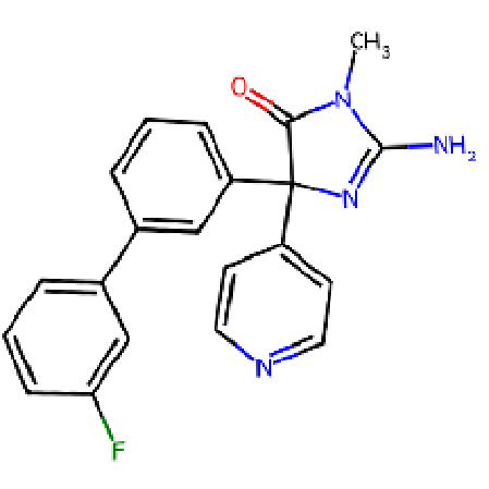 CN1C(=O)C(c2ccncc2)(c2cccc(-c3cccc(F)c3)c2)N=C1N